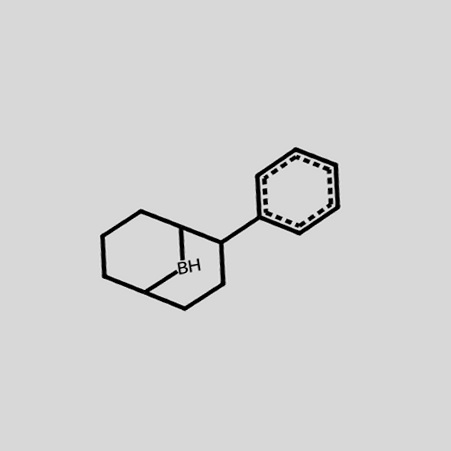 B1C2CCCC1C(c1ccccc1)CC2